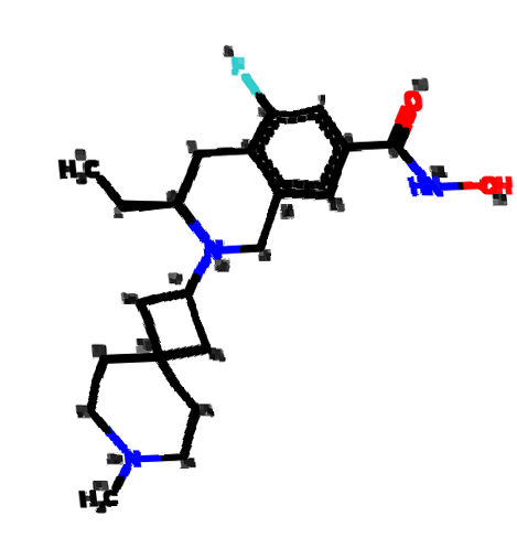 CC[C@H]1Cc2c(F)cc(C(=O)NO)cc2CN1C1CC2(CCN(C)CC2)C1